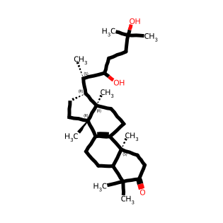 C[C@H](C(O)CCC(C)(C)O)[C@H]1CC[C@@]2(C)C3=C(CC[C@]12C)[C@@]1(C)CCC(=O)C(C)(C)C1CC3